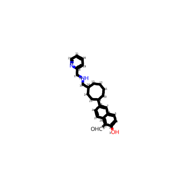 O=Cc1c(O)ccc2cc(C3CCCCC(CNCc4ccccn4)CC3)ccc12